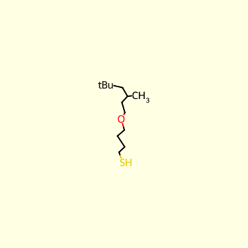 CC(CCOCCCCS)CC(C)(C)C